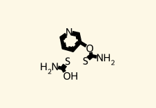 NC(=S)Oc1cccnc1.NC(O)=S